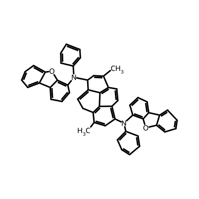 CC1=CC(N(c2ccccc2)c2cccc3c2oc2ccccc23)C2=CCc3c(C)cc(N(c4ccccc4)c4cccc5c4oc4ccccc45)c4ccc1c2c34